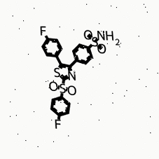 NS(=O)(=O)c1ccc(-c2nc(S(=O)(=O)c3ccc(F)cc3)sc2-c2ccc(F)cc2)cc1